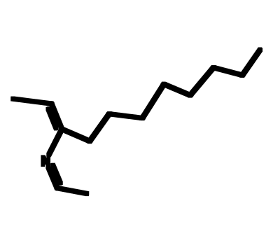 C/C=N\C(=C/C)CCCCCCCC